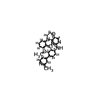 COc1cc(Nc2ncc3c(n2)N(c2ccccc2Cl)CCO3)ccc1-c1ccnc(C)c1